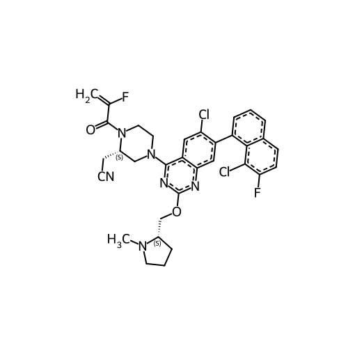 C=C(F)C(=O)N1CCN(c2nc(OC[C@@H]3CCCN3C)nc3cc(-c4cccc5ccc(F)c(Cl)c45)c(Cl)cc23)C[C@@H]1CC#N